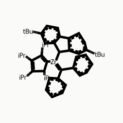 CC(C)C1=C(C(C)C)C(C(C)C)[C]([Zr](=[C](c2ccccc2)c2ccccc2)[CH]2c3cc(C(C)(C)C)ccc3-c3ccc(C(C)(C)C)cc32)=C1C(C)C